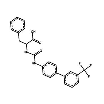 O=C(Nc1ccc(-c2cccc(C(F)(F)F)c2)cc1)NC(Cc1ccccc1)C(=O)O